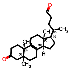 C[C@H](CCC=O)[C@H]1CC[C@H]2C3=C(CC[C@]12C)[C@@]1(C)CCC(=O)C[C@@]1(C)CC3